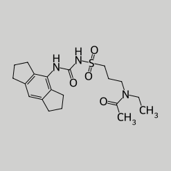 CCN(CCCS(=O)(=O)NC(=O)Nc1c2c(cc3c1CCC3)CCC2)C(C)=O